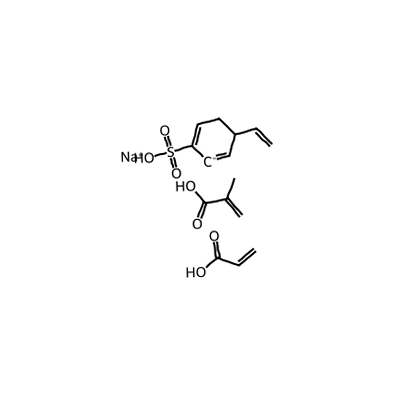 C=C(C)C(=O)O.C=CC(=O)O.C=CC1C=[C-]C(S(=O)(=O)O)=CC1.[Na+]